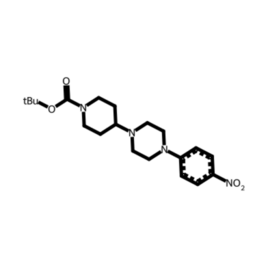 CC(C)(C)OC(=O)N1CCC(N2CCN(c3ccc([N+](=O)[O-])cc3)CC2)CC1